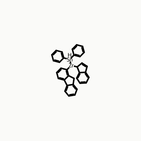 C1=C[CH]([Zr]([c]2cccc3c2Cc2ccccc2-3)[SnH]([c]2ccccc2)[c]2ccccc2)c2ccccc21